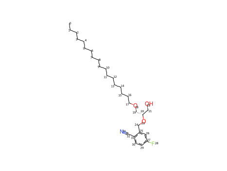 CCCCCCCCCCCCCCCCCCOC[C@H](CO)OCc1cc(F)ccc1C#N